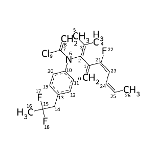 C=C(C(=C(C)C)N(C(=C)Cl)c1ccc(CC(C)(F)F)cc1)/C(F)=C\C=C/C